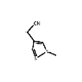 Cn1cc([CH]C#N)cn1